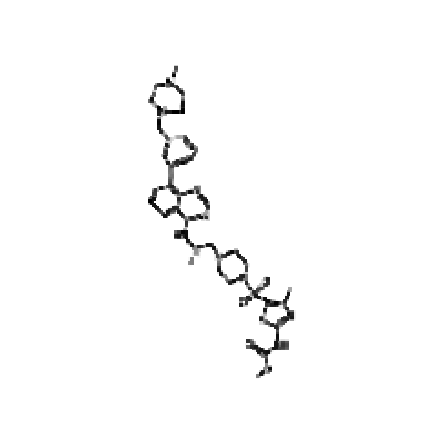 COC(=O)Nc1nc(C)c(S(=O)(=O)N2CCN(C[C@H](C)Nc3ncnc4c(-c5cccc(CN6CCN(C)CC6)c5)cccc34)CC2)s1